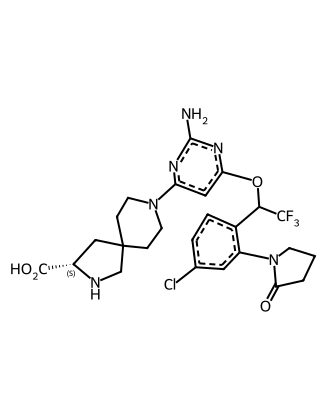 Nc1nc(OC(c2ccc(Cl)cc2N2CCCC2=O)C(F)(F)F)cc(N2CCC3(CC2)CN[C@H](C(=O)O)C3)n1